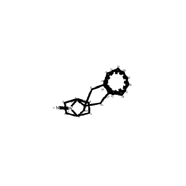 [N-]=[N+]1C23CCC1(CC2)C(Cc1ccccc1)(Cc1ccccc1)C3